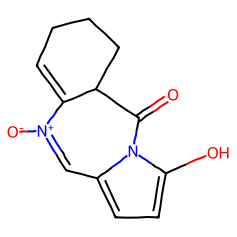 O=C1C2CCCC=C2[N+]([O-])=Cc2ccc(O)n21